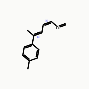 C=N/C=C\C=C(/C)c1ccc(C)cc1